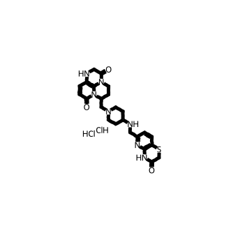 Cl.Cl.O=C1CSc2ccc(CNC3CCN(CC4CCN5C(=O)CNc6ccc(=O)n4c65)CC3)nc2N1